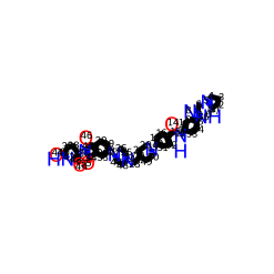 C[C@H]1CCCN1Cc1nc2cc(NC(=O)c3ccc(N4CCC(CN5CCN(c6ccc7c(c6)C(=O)N(C6CCC(=O)NC6=O)C7=O)CC5)CC4)cc3)ccc2[nH]1